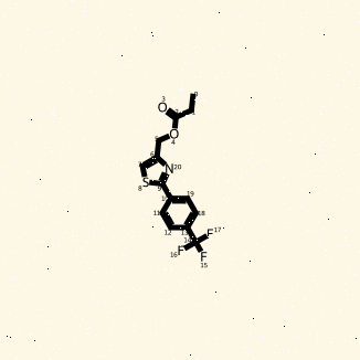 CCC(=O)OCc1csc(-c2ccc(C(F)(F)F)cc2)n1